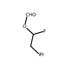 CC(C)CC(F)O[C]=O